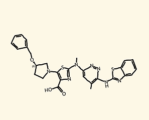 Cc1cc(N(C)c2nc(C(=O)O)c(N3CC[C@@H](OCc4ccccc4)C3)s2)nnc1Nc1nc2ccccc2s1